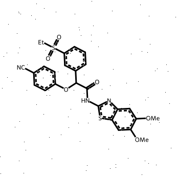 CCS(=O)(=O)c1cccc(C(Oc2ccc(C#N)cc2)C(=O)Nc2nc3cc(OC)c(OC)cc3s2)c1